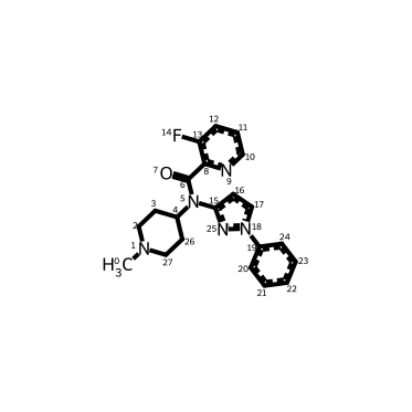 CN1CCC(N(C(=O)c2ncccc2F)c2ccn(-c3ccccc3)n2)CC1